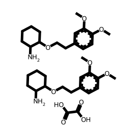 COc1ccc(CCOC2CCCCC2N)cc1OC.COc1ccc(CCOC2CCCCC2N)cc1OC.O=C(O)C(=O)O